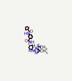 Cc1cnc(N[C@H]2CC[C@@H](CNC(=O)c3cccc(NC(=O)C4CCCC4)c3)CC2)nc1N(C)C